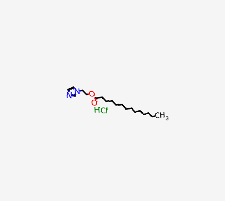 CCCCCCCCCCCCCC(=O)OCCn1ccnc1.Cl